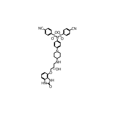 N#Cc1ccc(S(=O)(=O)N(c2ccc(N3CCC(NC[C@H](O)COc4cccc5[nH]c(=O)[nH]c45)CC3)cc2)S(=O)(=O)c2ccc(C#N)cc2)cc1